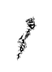 CC(C)[C@@H](C(=O)N[C@@H](Cc1ccc(OCCF)cc1)C(=O)O)n1cc(COc2ccc3nc(S(N)(=O)=O)sc3c2)nn1